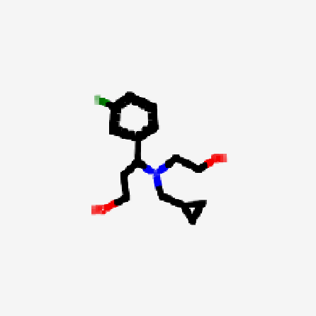 OCCC(c1cccc(F)c1)N(CCO)CC1CC1